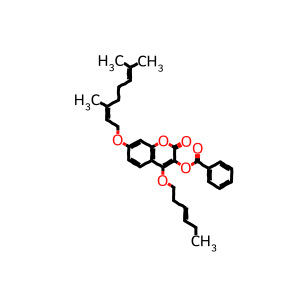 CCC=CCCOc1c(OC(=O)c2ccccc2)c(=O)oc2cc(OCC=C(C)CCC=C(C)C)ccc12